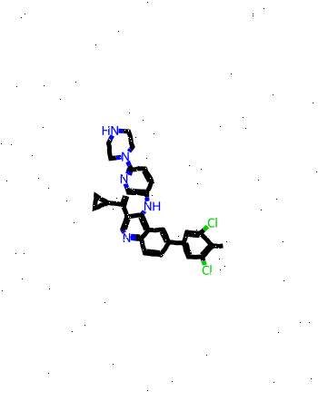 C=C(c1cnc2ccc(-c3cc(Cl)c(C)c(Cl)c3)cc2c1Nc1ccc(N2CCNCC2)nc1)C1CC1